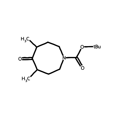 CC1CCN(C(=O)OC(C)(C)C)CCC(C)C1=O